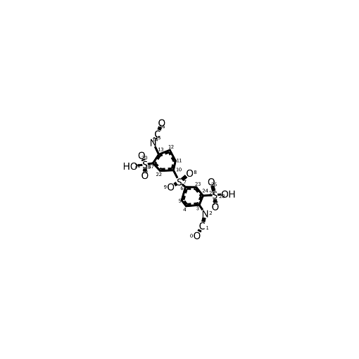 O=C=Nc1ccc(S(=O)(=O)c2ccc(N=C=O)c(S(=O)(=O)O)c2)cc1S(=O)(=O)O